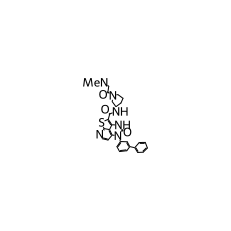 CNCC(=O)N1CCCC(NC(=O)c2sc3nccc4c3c2NC(=O)N4c2cccc(-c3ccccc3)c2)C1